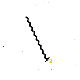 CCCCCCCCCCCCCCCCCCCC(C)(C)S